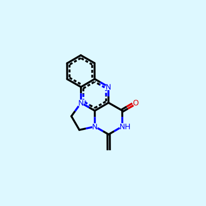 C=C1NC(=O)c2nc3ccccc3[n+]3c2N1CC3